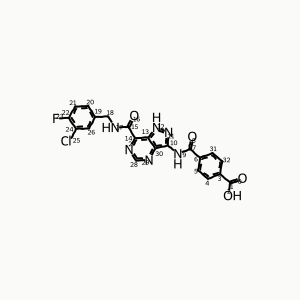 O=C(O)c1ccc(C(=O)Nc2n[nH]c3c(C(=O)NCc4ccc(F)c(Cl)c4)ncnc23)cc1